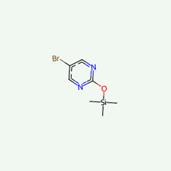 C[Si](C)(C)Oc1ncc(Br)cn1